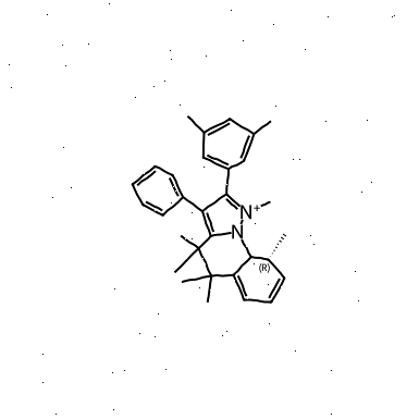 Cc1cc(C)cc(-c2c(-c3ccccc3)c3n([n+]2C)C2C(=CC=C[C@H]2C)C(C)(C)C3(C)C)c1